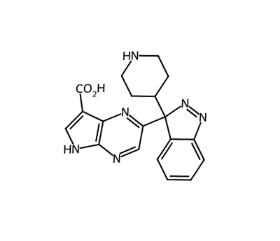 O=C(O)c1c[nH]c2ncc(C3(C4CCNCC4)N=Nc4ccccc43)nc12